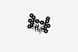 CC1(C)c2ccccc2-c2c1cc(N(c1ccc(-c3ccc(N(c4ccc5ccccc5c4)c4cc5c(c6ccccc46)-c4ccccc4C5(C)C)cc3)cc1)c1ccc3ccccc3c1)c1ccccc21